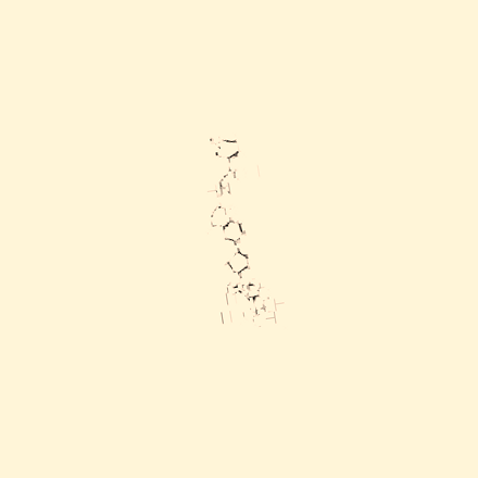 CC(C)(C)C(=O)NS(=O)(=O)c1ccc(-c2ccc3c(c2)CC[C@H](CNC[C@@H](O)c2cccnc2)O3)cc1